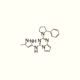 Cc1cc(Nc2nc(N3CCCC3c3ccccc3)nc3cccn23)[nH]n1